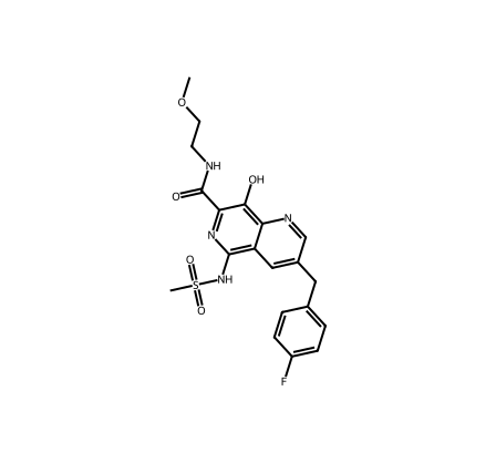 COCCNC(=O)c1nc(NS(C)(=O)=O)c2cc(Cc3ccc(F)cc3)cnc2c1O